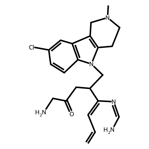 C=C/C=C(\N=C/N)C(CC(=O)CN)Cn1c2c(c3cc(Cl)ccc31)CN(C)CC2